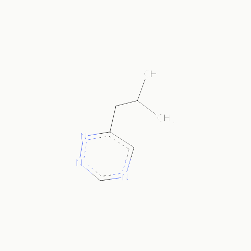 CC(C)Cc1[c]ncnn1